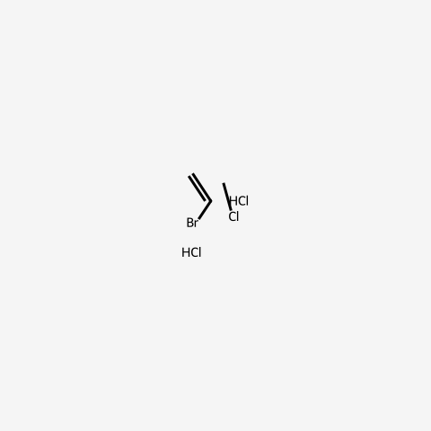 C=CBr.CCl.Cl.Cl